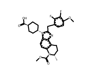 COC(=O)N1c2ccc3c(nc(Cc4ccc(OC)c(F)c4F)n3[C@H]3CC[C@H](C(=O)O)CC3)c2CC[C@@H]1C